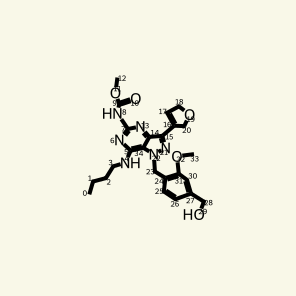 CCCCNc1nc(NC(=O)OC)nc2c(C3=CCOC3)nn(Cc3ccc(CO)cc3OC)c12